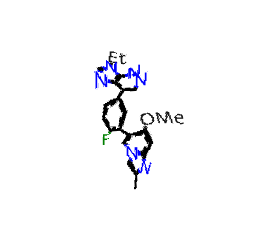 CCn1cnc2c(-c3ccc(F)c(-c4cn5cc(C)nc5cc4OC)c3)cnnc21